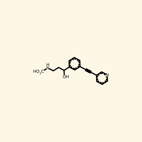 O=C(O)NCCC(O)c1cccc(C#Cc2cccnc2)c1